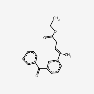 CCOC(=O)CC=C(C)c1cccc(C(=O)c2ccccc2)c1